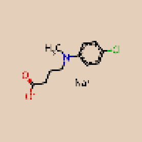 CN(CCCC(=O)[O-])c1ccc(Cl)cc1.[Na+]